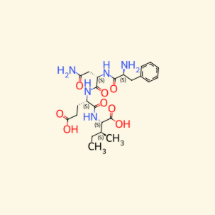 CC[C@H](C)[C@H](NC(=O)[C@H](CCC(=O)O)NC(=O)[C@H](CC(N)=O)NC(=O)[C@@H](N)Cc1ccccc1)C(=O)O